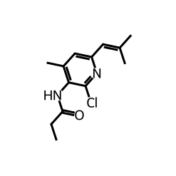 CCC(=O)Nc1c(C)cc(C=C(C)C)nc1Cl